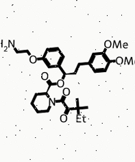 CCC(C)(C)C(=O)C(=O)N1CCCC[C@H]1C(=O)O[C@H](CCc1ccc(OC)c(OC)c1)c1cccc(OCCN)c1